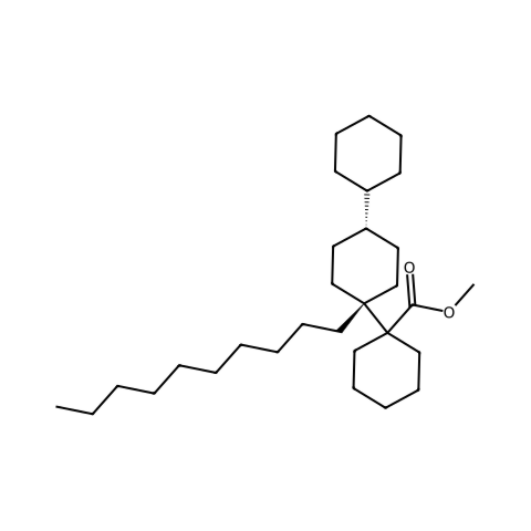 CCCCCCCCCC[C@]1(C2(C(=O)OC)CCCCC2)CC[C@@H](C2CCCCC2)CC1